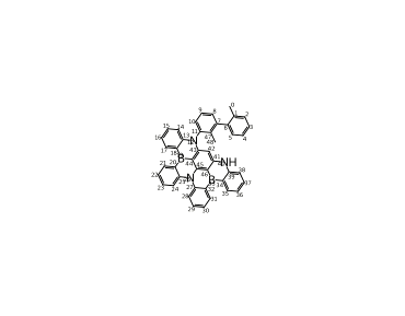 Cc1ccccc1-c1cccc(N2c3ccccc3B3c4ccccc4N4c5ccccc5B5c6ccccc6Nc6cc2c3c4c65)c1C